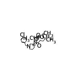 CCOP(=O)(OCC)C(CC(C)C)C(=O)N[C@H]1CCCN(Cc2ccc(Cl)cc2)C1